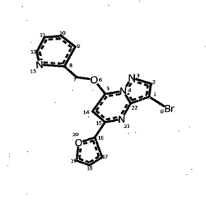 Brc1cnn2c(OCc3ccccn3)cc(-c3ccco3)nc12